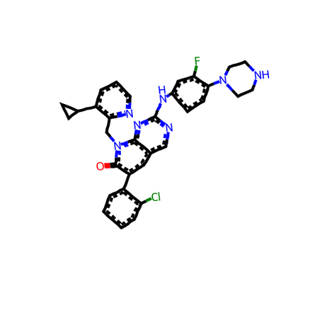 O=c1c(-c2ccccc2Cl)cc2cnc(Nc3ccc(N4CCNCC4)c(F)c3)nc2n1Cc1ncccc1C1CC1